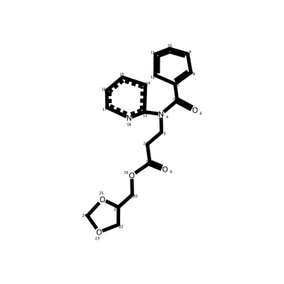 O=C(CCN(C(=O)C1=CC=C=C=C1)c1ccccn1)OCC1COCO1